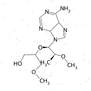 COCC(CO)O[C@H]([C@H](C)OC)N1C=NC2C(N)=NC=NC21